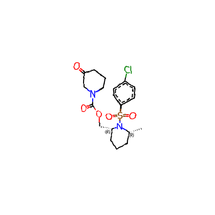 C[C@@H]1CCC[C@H](COC(=O)N2CCCC(=O)C2)N1S(=O)(=O)c1ccc(Cl)cc1